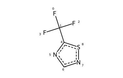 FC(F)(F)c1n[c]ns1